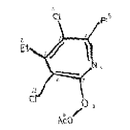 CCc1c(Cl)c(F)nc(OOC(C)=O)c1Cl